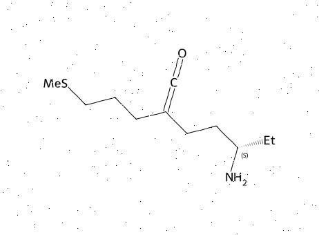 CC[C@H](N)CCC(=C=O)CCCSC